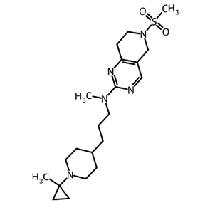 CN(CCCC1CCN(C2(C)CC2)CC1)c1ncc2c(n1)CCN(S(C)(=O)=O)C2